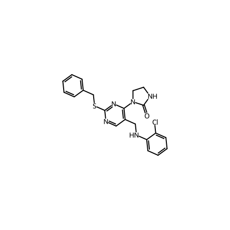 O=C1NCCN1c1nc(SCc2ccccc2)ncc1CNc1ccccc1Cl